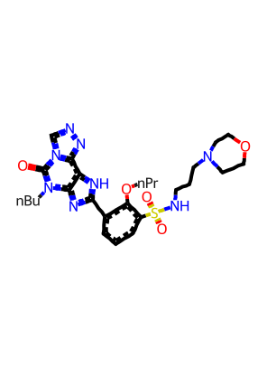 CCCCn1c(=O)n2cnnc2c2[nH]c(-c3cccc(S(=O)(=O)NCCCN4CCOCC4)c3OCCC)nc21